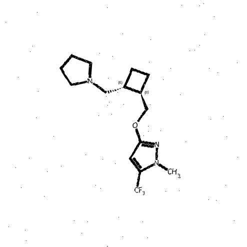 Cn1nc(OC[C@@H]2CC[C@H]2CN2CCCC2)cc1C(F)(F)F